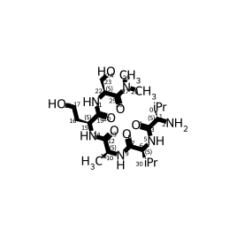 CC(C)[C@H](N)C(=O)N[C@H](C(=O)N[C@@H](C)C(=O)N[C@@H](CCO)C(=O)N[C@@H](CO)C(=O)N(C)C)C(C)C